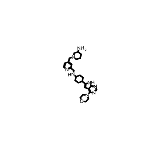 NC1CCCN(Cc2ccnc(CNC3CCC(c4cc5c(N6CCOCC6)ncnc5[nH]4)CC3)c2)C1